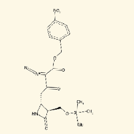 CC(C)(C)[Si](C)(C)OC[C@H]1C(=O)N[C@@H]1CC(=O)C(=[N+]=[N-])C(=O)OCc1ccc([N+](=O)[O-])cc1